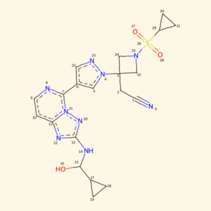 N#CCC1(n2cc(-c3nccc4nc(NC(O)C5CC5)nn34)cn2)CN(S(=O)(=O)C2CC2)C1